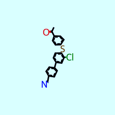 CC(=O)c1ccc(Sc2ccc(-c3ccc(C#N)cc3)cc2Cl)cc1